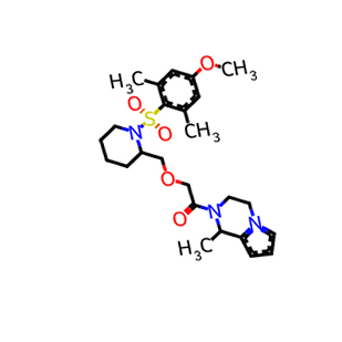 COc1cc(C)c(S(=O)(=O)N2CCCCC2COCC(=O)N2CCn3cccc3C2C)c(C)c1